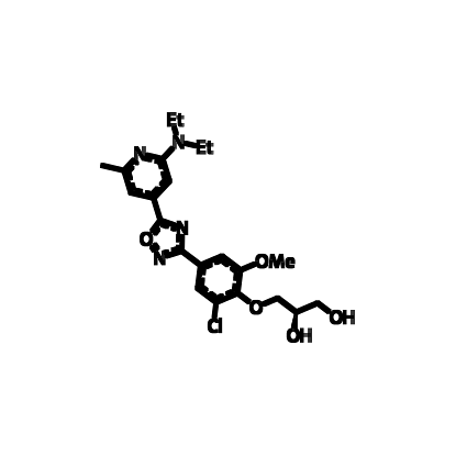 CCN(CC)c1cc(-c2nc(-c3cc(Cl)c(OC[C@H](O)CO)c(OC)c3)no2)cc(C)n1